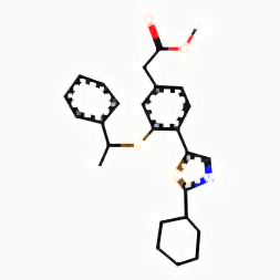 CC(C)OC(=O)Cc1ccc(-c2cnc(C3CCCCC3)s2)c(SC(C)c2ccccc2)c1